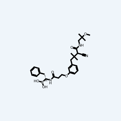 COC(C)(C)CNC(=O)C(C#N)C(C)(C)Cc1cccc(OCCC(=O)N[C@@H](Cc2ccccc2)B(O)O)c1